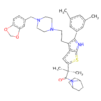 Cc1cc(C)cc(-c2[nH]c3sc(C(C)(C)C(=O)N4C5CCC4CC5)cc3c2CCN2CCN(Cc3ccc4c(c3)OCO4)CC2)c1